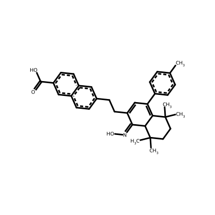 Cc1ccc(C2=C3C(C(=NO)C(CCc4ccc5cc(C(=O)O)ccc5c4)=C2)C(C)(C)CCC3(C)C)cc1